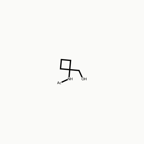 CC(=O)NC1(CO)CCC1